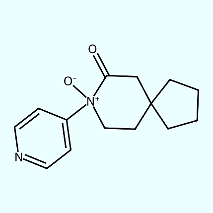 O=C1CC2(CCCC2)CC[N+]1([O-])c1ccncc1